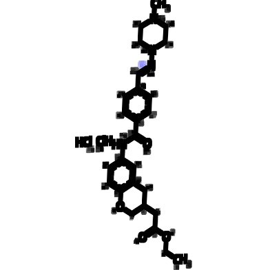 CCOC(=O)CC1COc2ccc(NC(=O)c3ccc(/C=N/N4CCN(C)CC4)cc3)cc2C1.Cl.Cl